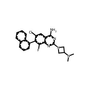 CN(C)C1CN(c2nc(N)c3cc(Cl)c(-c4cccc5ccccc45)c(F)c3n2)C1